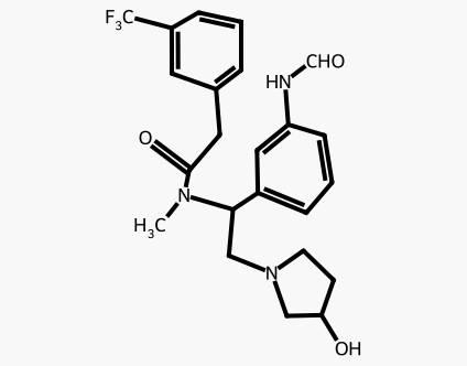 CN(C(=O)Cc1cccc(C(F)(F)F)c1)C(CN1CCC(O)C1)c1cccc(NC=O)c1